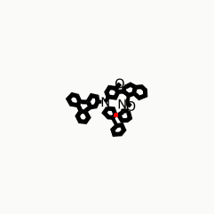 c1ccc(-c2ccc(N(c3ccc4c5ccccc5c5ccccc5c4c3)c3ccc4oc5cc6ccccc6c(-c6nc7ccccc7o6)c5c4c3)cc2)cc1